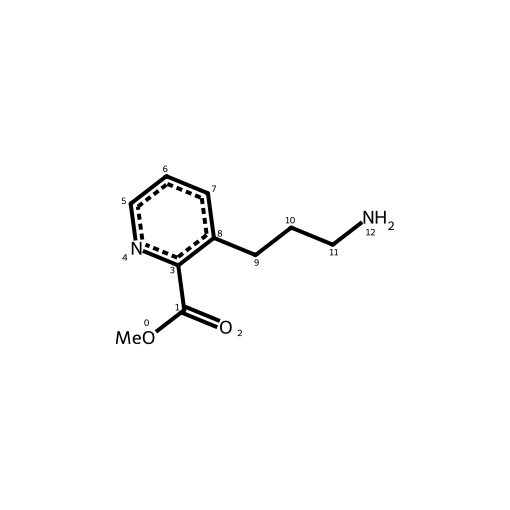 COC(=O)c1ncccc1CCCN